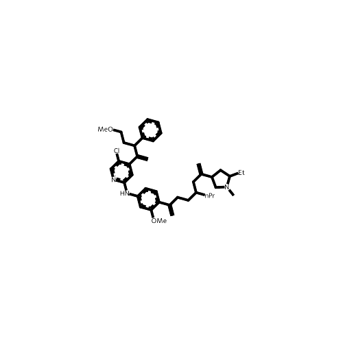 C=C(CCC(CCC)CC(=C)C1CC(CC)N(C)C1)c1ccc(Nc2cc(C(=C)C(CCOC)c3ccccc3)c(Cl)cn2)cc1OC